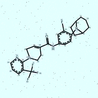 O=C(Nc1ccc(N2C3CCCC2CC3)c(F)c1)C1=CCN(c2ncccc2C(F)(F)F)CC1